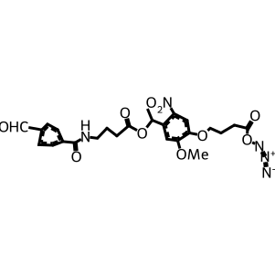 COc1cc(C(C)OC(=O)CCCNC(=O)c2ccc(C=O)cc2)c([N+](=O)[O-])cc1OCCCC(=O)ON=[N+]=[N-]